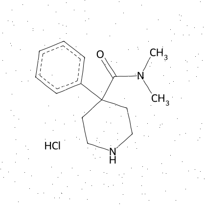 CN(C)C(=O)C1(c2ccccc2)CCNCC1.Cl